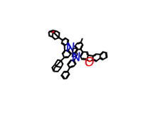 Cc1cc2c3c(c1)-n1c4ccc(C56CC7CC(CC(C7)C5)C6)cc4c4cc(C56CC7CC(CC(C7)C5)C6)cc(c41)B3N(c1ccc(-c3ccccc3)cc1)c1cc3oc4cc5ccccc5cc4c3cc1-2